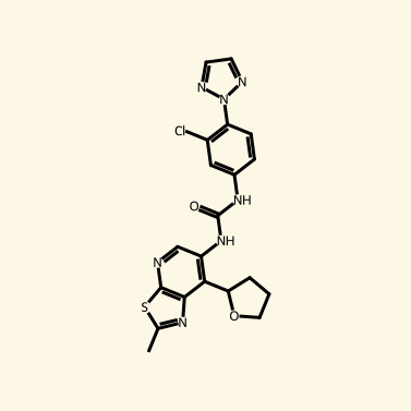 Cc1nc2c(C3CCCO3)c(NC(=O)Nc3ccc(-n4nccn4)c(Cl)c3)cnc2s1